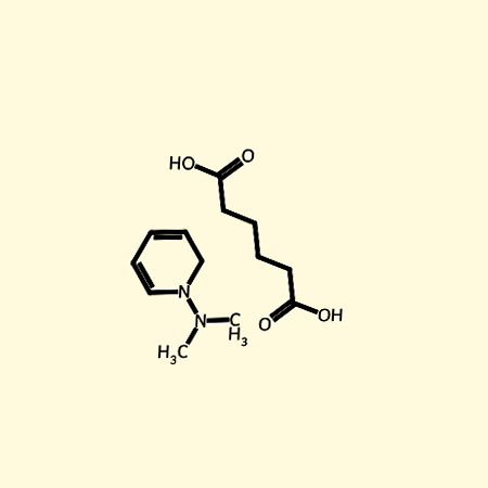 CN(C)N1C=CC=CC1.O=C(O)CCCCC(=O)O